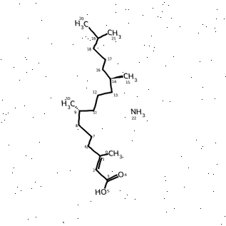 C/C(=C\C(=O)O)CCC[C@H](C)CCC[C@H](C)CCCC(C)C.N